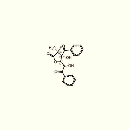 C[C@@]1(F)C(=O)O[C@H](C(O)C(=O)c2ccccc2)[C@]1(O)C(=O)c1ccccc1